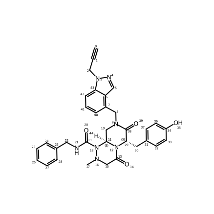 C#CCn1ncc2c(CN3C[C@H]4N(C(=O)CN(C)N4C(=O)NCc4ccccc4)[C@@H](Cc4ccc(O)cc4)C3=O)cccc21